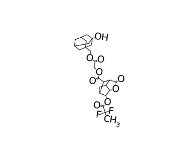 CC(F)(F)C(=O)OC1C2CC3C1OC(=O)C3C2C(=O)OCC(=O)OCC12CC3CC(CC(O)(C3)C1)C2